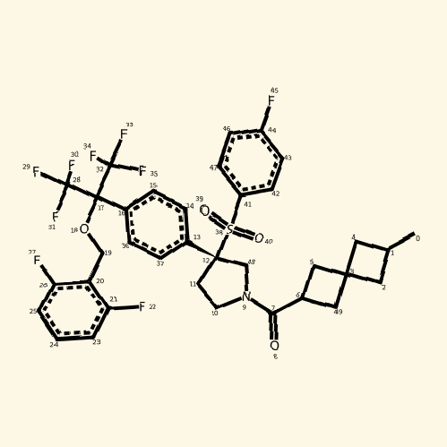 CC1CC2(C1)CC(C(=O)N1CC[C@](c3ccc(C(OCc4c(F)cccc4F)(C(F)(F)F)C(F)(F)F)cc3)(S(=O)(=O)c3ccc(F)cc3)C1)C2